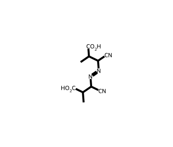 CC(C(=O)O)C(C#N)N=NC(C#N)C(C)C(=O)O